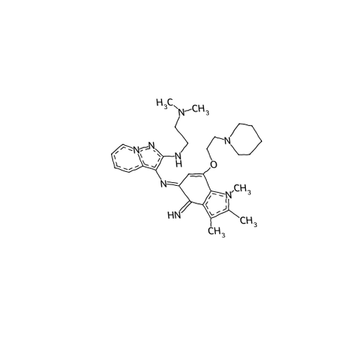 Cc1c2c(n(C)c1C)C(OCCN1CCCCC1)=CC(=Nc1c(NCCN(C)C)nn3ccccc13)C2=N